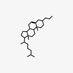 CCCC1CCC2(C)C(=CCC3C2CCC2(C)C(C(C)CCCC(C)C)CCC32)C1